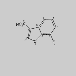 O=C(O)c1noc2c(F)cccc12